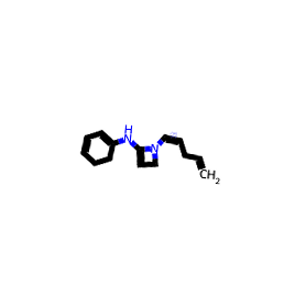 C=CC/C=C\N1CC=C1NC1=CC=CCC1